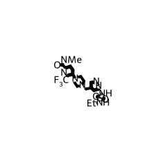 CCNS(=O)(=O)Nc1cc(CN2CCN(c3ccc(C(=O)NC)nc3C(F)(F)F)CC2)cnn1